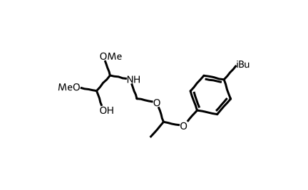 CCC(C)c1ccc(OC(C)OCNC(OC)C(O)OC)cc1